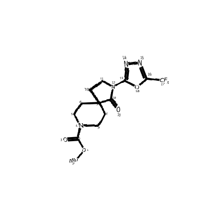 CC(C)(C)OC(=O)N1CCC2(CC1)CCN(c1nnc(C(F)(F)F)o1)C2=O